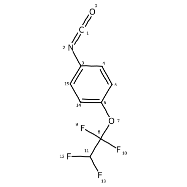 O=C=Nc1ccc(OC(F)(F)C(F)F)cc1